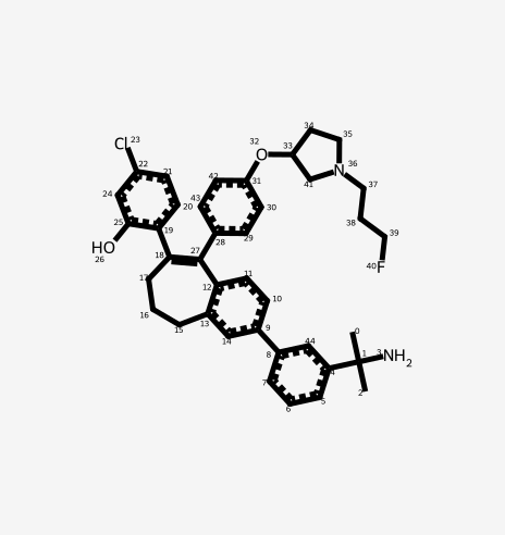 CC(C)(N)c1cccc(-c2ccc3c(c2)CCCC(c2ccc(Cl)cc2O)=C3c2ccc(OC3CCN(CCCF)C3)cc2)c1